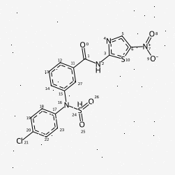 O=C(Nc1ncc([N+](=O)[O-])s1)c1cccc(N(c2ccc(Cl)cc2)[SH](=O)=O)c1